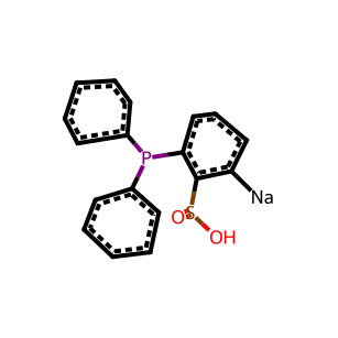 O=S(O)c1[c]([Na])cccc1P(c1ccccc1)c1ccccc1